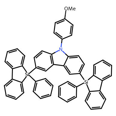 COc1ccc(-n2c3ccc([Si]4(c5ccccc5)c5ccccc5-c5ccccc54)cc3c3cc([Si]4(c5ccccc5)c5ccccc5-c5ccccc54)ccc32)cc1